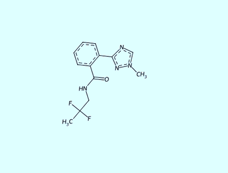 Cn1cnc(-c2ccccc2C(=O)NCC(C)(F)F)n1